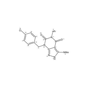 CCCn1c(=O)c2c(NC)[nH]nc2n(Cc2ccc(Cl)cc2)c1=O